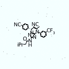 [C-]#[N+]C1=C(C)N(c2cccc(C(F)(F)F)c2)c2nc(NC(=O)CC(C)C)nn2[C@@H]1c1ccc(C#N)cc1